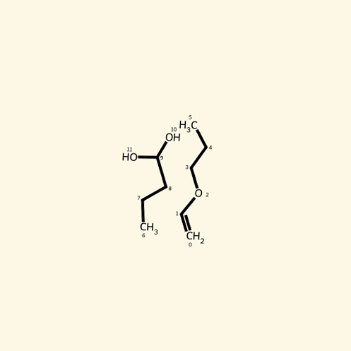 C=COCCC.CCCC(O)O